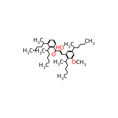 CCCCC(C)c1cc(C=C(O)C(=O)c2cccc(C(C)CCCC)c2C(C)CCCC)c(C(C)CCCC)c(OC)c1